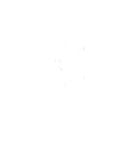 CCC1[C@H]2c3n[nH]c(C(=O)O)c3C[C@@H]12